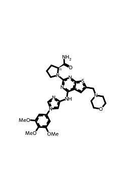 COc1cc(-n2cnc(Nc3nc(N4CCC[C@H]4C(N)=O)nc4sc(CN5CCOCC5)cc34)c2)cc(OC)c1OC